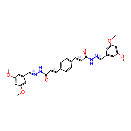 COc1cc(/C=N/NC(=O)/C=C/c2ccc(/C=C/C(=O)N/N=C/c3cc(OC)cc(OC)c3)cc2)cc(OC)c1